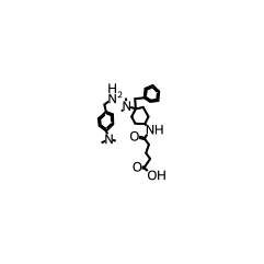 CN(C)C1(Cc2ccccc2)CCC(NC(=O)CCCC(=O)O)CC1.CN(C)c1ccc(CN)cc1